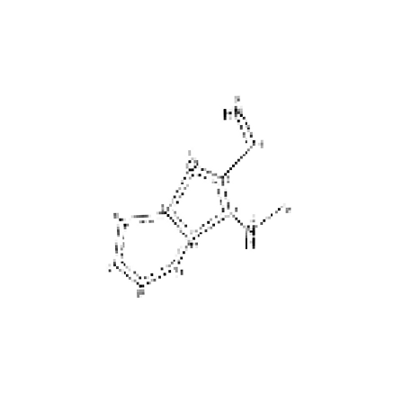 CNc1c(C=N)oc2ccccc12